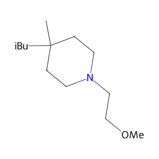 CCC(C)C1(C)CCN(CCOC)CC1